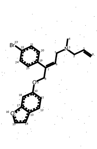 C=CCN(C)CC=C(COc1ccc2ccoc2c1)c1ccc(Br)cc1